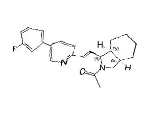 CC(=O)N1C[C@@H]2CCCC[C@@H]2[C@@H]1C=Cc1ccc(-c2cccc(F)c2)cn1